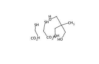 CC(CO)(CO)CO.O=C(O)CS.O=C(O)CS